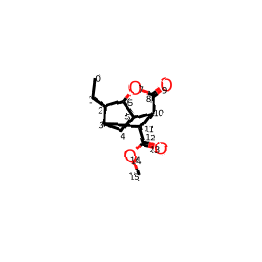 CCC1C2CC3C1OC(=O)C3C2C(=O)OC